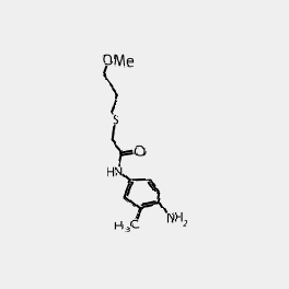 COCCCSCC(=O)Nc1ccc(N)c(C)c1